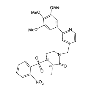 COc1cc(-c2cc(CN3CCN(S(=O)(=O)c4ccccc4[N+](=O)[O-])[C@@H](C)C3=O)ccn2)cc(OC)c1OC